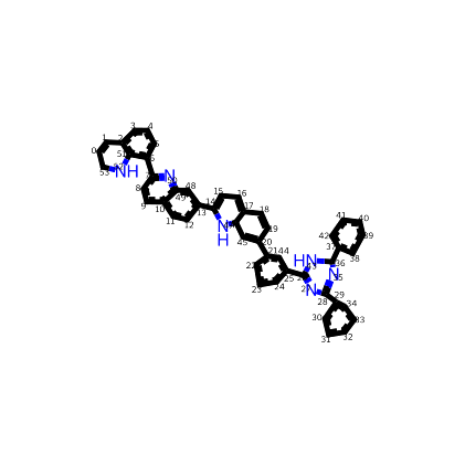 C1=Cc2cccc(-c3ccc4ccc(C5=CC=C6C=CC(c7cccc(C8=NC(c9ccccc9)=NC(c9ccccc9)N8)c7)=CC6N5)cc4n3)c2NC1